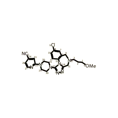 COCCCN1Cc2cc(Cl)ccc2-n2c(nnc2N2CCN(c3cc(C#N)ccn3)CC2)C1